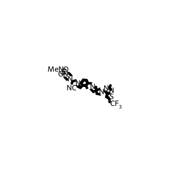 CNS(=O)(=O)N1CCN(C(C)Cn2c(C#N)cc3c(C)c(CN4CCC5(CCN(c6nc(C)nc7sc(CC(F)(F)F)cc67)C5)C4)ccc32)CC1